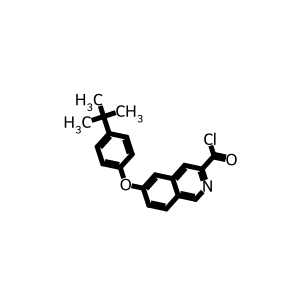 CC(C)(C)c1ccc(Oc2ccc3cnc(C(=O)Cl)cc3c2)cc1